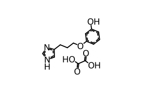 O=C(O)C(=O)O.Oc1cccc(OCCCc2c[nH]cn2)c1